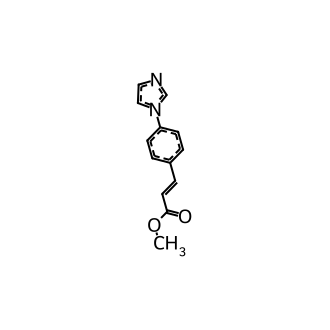 COC(=O)/C=C/c1ccc(-n2ccnc2)cc1